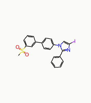 CS(=O)(=O)c1cccc(-c2ccc(-n3cc(I)nc3-c3ccccc3)cc2)c1